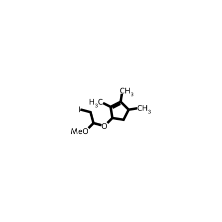 COC(CI)OC1CC(C)C(C)=C1C